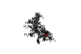 CC(C)C[C@H](NC(=O)[C@@H](NC(=O)[C@H](CCCNC(=N)N)NC(=O)[C@H](CCC(=O)O)NC(=O)[C@H](CCCCN)NC(=O)[C@H](CCCNC(=N)N)CC(=O)[C@H](Cc1c[nH]c2ccccc12)NC(=O)[C@H](CCCCN=[N+]=[N-])NC(=O)[C@H](CCC(N)=O)NC(=O)[C@H](CC(=O)O)NC(=O)[C@@H](NC(=O)[C@@H](C)CCC(N)=O)C(C)C)C(C)C)C(=O)N[C@@H](CC(N)=O)C(N)=O